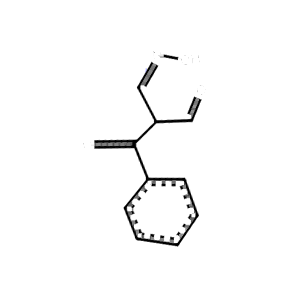 O=CC(/C=N\O)C(=O)c1ccccc1